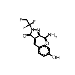 NC(=O)C1=NN(C(F)(F)CF)C(=O)/C1=C/c1ccc(O)cc1